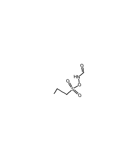 CCCS(=O)(=O)ONC=O